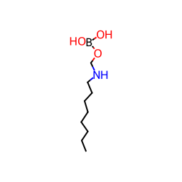 CCCCCCCCNCOB(O)O